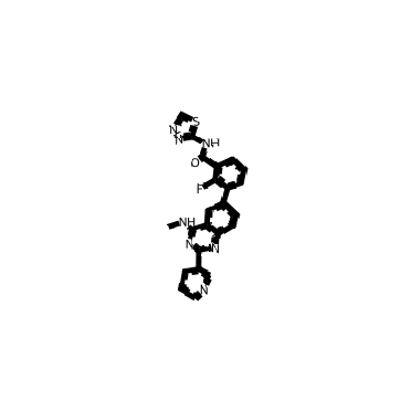 CNc1nc(-c2cccnc2)nc2ccc(-c3cccc(C(=O)Nc4nncs4)c3F)cc12